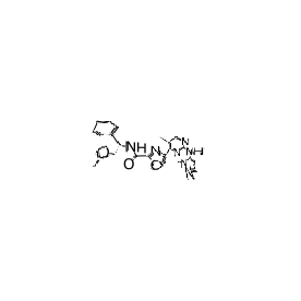 COC[C@@H](NC(=O)c1nc(-c2nc(Nc3ccnn3C)ncc2C)co1)c1ccccc1